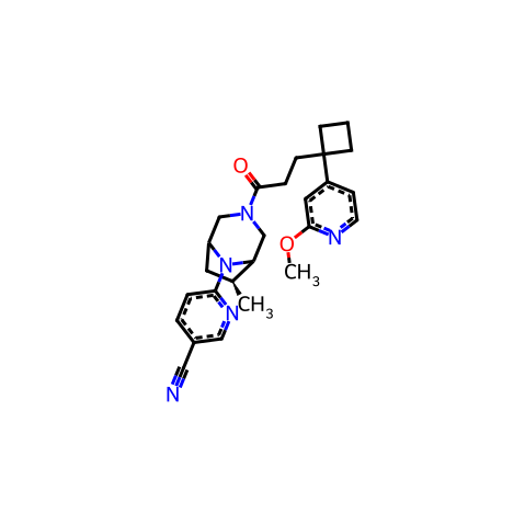 COc1cc(C2(CCC(=O)N3CC4C[C@H](C)C(C3)N4c3ccc(C#N)cn3)CCC2)ccn1